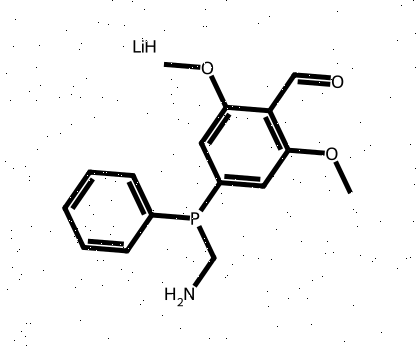 COc1cc(P(CN)c2ccccc2)cc(OC)c1C=O.[LiH]